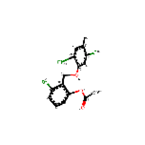 COC(=O)Oc1cccc(Br)c1COc1cc(F)c(C)cc1Cl